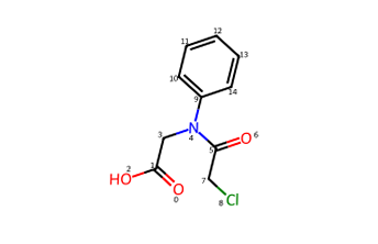 O=C(O)CN(C(=O)CCl)c1ccccc1